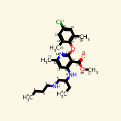 CCCCNCC(CC)Nc1cc(C)nc(Oc2c(C)cc(Cl)cc2C)c1C(=O)OC